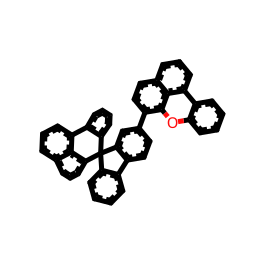 c1ccc2c(c1)Oc1c(-c3ccc4c(c3)C3(c5ccccc5-4)c4ccccc4-c4cccc5cccc3c45)ccc3cccc-2c13